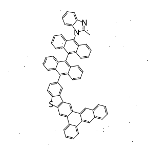 Cc1nc2ccccc2n1-c1c2ccccc2c(-c2c3ccccc3c(-c3ccc4sc5cc6c7ccccc7c7cc8ccccc8cc7c6cc5c4c3)c3ccccc23)c2ccccc12